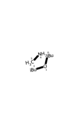 CCC(C)OC(C)CC.CN